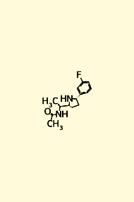 CC(=O)N[C@@H](C)[C@H]1CC[C@@H](c2cccc(F)c2)N1